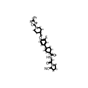 CC(C)c1noc(N2CCC(COc3ccc(C4=CCC(C(=O)NCC(=O)N5CCCC5C#N)CC4)cc3F)CC2)n1